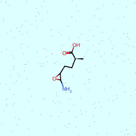 C[C@@H](CCC1OC1N)C(=O)O